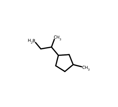 BCC(C)C1CCC(C)C1